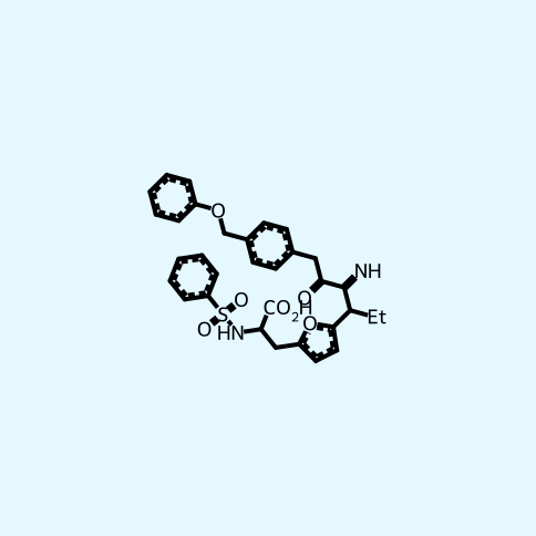 CCC(C(=N)C(=O)Cc1ccc(COc2ccccc2)cc1)c1ccc(CC(NS(=O)(=O)c2ccccc2)C(=O)O)o1